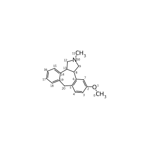 COc1ccc2c(c1)C1CN(C)CC1c1ccccc1C2